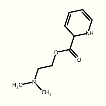 CN(C)CCOC(=O)[C]1C=CC=CN1